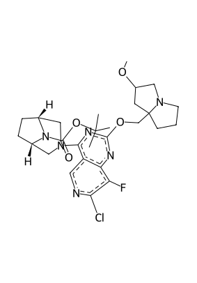 COC1CN2CCCC2(COc2nc(N3C[C@H]4CC[C@@H](C3)N4C(=O)OC(C)(C)C)c3cnc(Cl)c(F)c3n2)C1